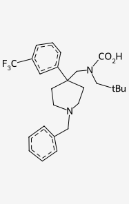 CC(C)(C)CN(CC1(c2cccc(C(F)(F)F)c2)CCN(Cc2ccccc2)CC1)C(=O)O